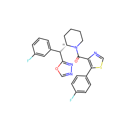 O=C(c1ncsc1-c1ccc(F)cc1)N1CCCC[C@H]1C(c1cccc(F)c1)c1nnco1